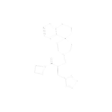 O=C(C(CN1CCC2(CC1)OCCc1ccccc12)Cn1cccn1)N1CCC1